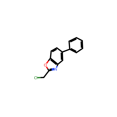 ClCc1nc2cc(-c3ccccc3)ccc2o1